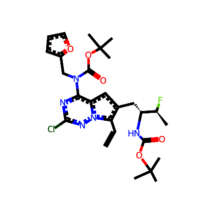 C=Cc1c(C[C@@H](NC(=O)OC(C)(C)C)[C@H](C)F)cc2c(N(Cc3ccco3)C(=O)OC(C)(C)C)nc(Cl)nn12